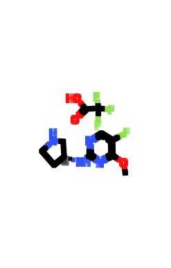 COc1nc(N[C@@H]2CCNC2)ncc1F.O=C(O)C(F)(F)F